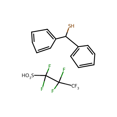 O=S(=O)(O)C(F)(F)C(F)(F)C(F)(F)F.SC(c1ccccc1)c1ccccc1